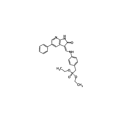 CCOP(=O)(Cc1ccc(N/C=C2\C(=O)Nc3ncc(-c4ccccc4)cc32)cc1)OCC